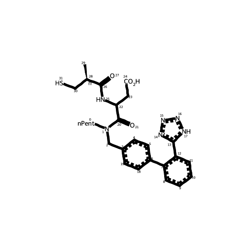 CCCCCN(Cc1ccc(-c2ccccc2-c2nnn[nH]2)cc1)C(=O)C(CC(=O)O)NC(=O)[C@H](C)CS